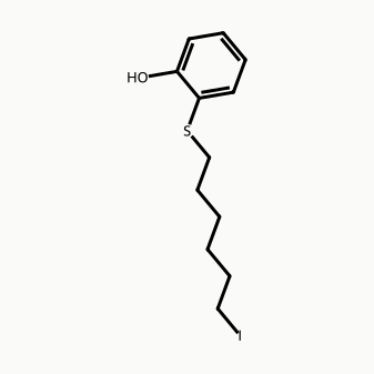 Oc1ccccc1SCCCCCCI